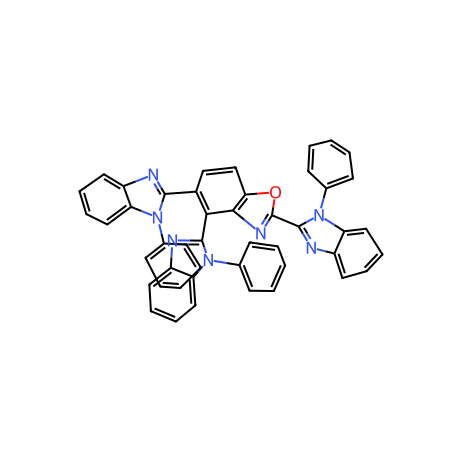 c1ccc(-n2c(-c3nc4c(-c5nc6ccccc6n5-c5ccccc5)c(-c5nc6ccccc6n5-c5ccccc5)ccc4o3)nc3ccccc32)cc1